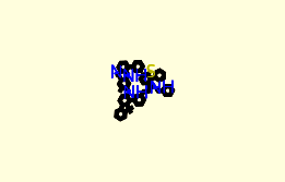 CC1=CC(C#N)C(NC2=C(C3CCCCC3)CCCC2)CC1NC1CCC2C3CCCCC3C(C)(C)C2C1C1CCCC(CCC(NCC2CCCCC2)C2CCC=C3SC4CCCCC4C32)C1